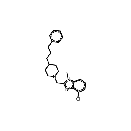 Cn1c(CN2CCC(CCCc3ccccc3)CC2)nc2c(Cl)cccc21